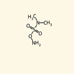 CN(C)S(=O)(=O)ON